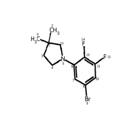 CC1(C)CCN(c2cc(Br)cc(F)c2F)C1